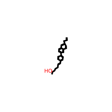 C=CCc1ccc2cc(-c3ccc(/C=C/CCCC(C)O)cc3)ccc2c1